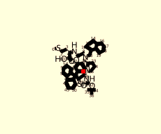 CSCC[C@H](NC(=O)CN(Cc1cccc2ccccc12)C[C@@H]1CCCN1C[C@@H](NC(=O)OC(C)(C)C)C(S)C(c1ccccc1)(c1ccccc1)c1ccccc1)C(=O)O